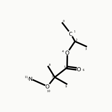 CCC(C)OC(=O)C(C)(C)O[N]